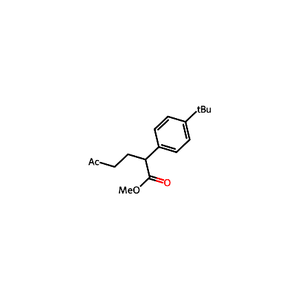 COC(=O)C(CCC(C)=O)c1ccc(C(C)(C)C)cc1